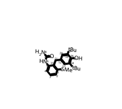 CSc1cccc(NC(N)=O)c1Cc1cc(C(C)(C)C)c(O)c(C(C)(C)C)c1